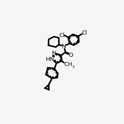 Cc1c(C(=O)N(c2ccc(Cl)cc2Cl)C2CCCCC2)n[nH]c1-c1ccc(C2CC2)cc1